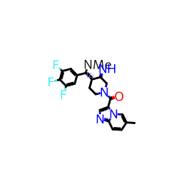 CN/C(=C1/CCN(C(=O)c2cnc3ccc(C)cn23)CC1=N)c1cc(F)c(F)c(F)c1